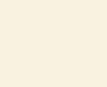 CCC(C)C1(C)CCS(=O)(=O)CC1